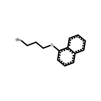 CC(C)(C)CCCOc1cccc2ccccc12